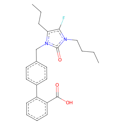 CCCCn1c(F)c(CCC)n(Cc2ccc(-c3ccccc3C(=O)O)cc2)c1=O